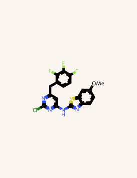 COc1ccc2nc(Nc3cc(Cc4ccc(F)c(F)c4F)nc(Cl)n3)sc2c1